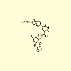 CC(=O)Nc1cn2nc(-c3cc(C(=O)NCc4cc(F)cc(F)c4O[C@@H]4CCOC4)c(C)nc3C)ccc2n1